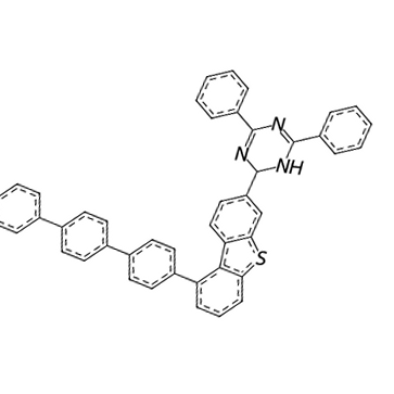 c1ccc(C2=NC(c3ccc4c(c3)sc3cccc(-c5ccc(-c6ccc(-c7ccccc7)cc6)cc5)c34)NC(c3ccccc3)=N2)cc1